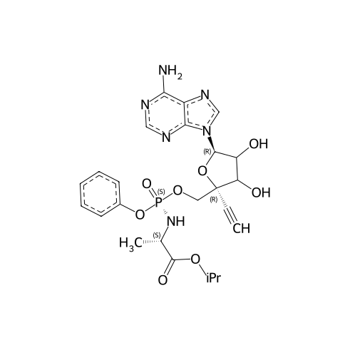 C#C[C@]1(CO[P@@](=O)(N[C@@H](C)C(=O)OC(C)C)Oc2ccccc2)O[C@@H](n2cnc3c(N)ncnc32)C(O)C1O